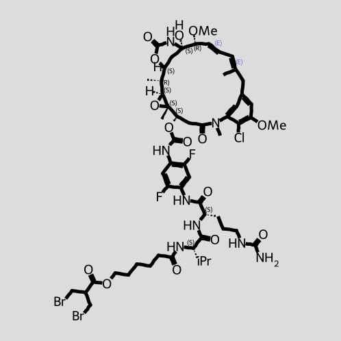 COc1cc2cc(c1Cl)N(C)C(=O)C[C@H](OC(=O)Nc1cc(F)c(NC(=O)[C@H](CCCNC(N)=O)NC(=O)[C@@H](NC(=O)CCCCCOC(=O)C(CBr)CBr)C(C)C)cc1F)[C@]1(C)O[C@H]1[C@H](C)[C@@H]1C[C@@](O)(NC(=O)O1)[C@H](OC)/C=C/C=C(\C)C2